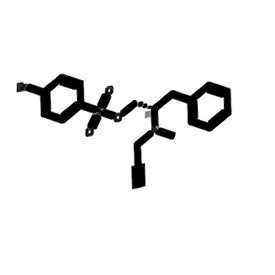 C#CCN(C)[C@H](COS(=O)(=O)c1ccc(Br)cc1)Cc1ccccc1